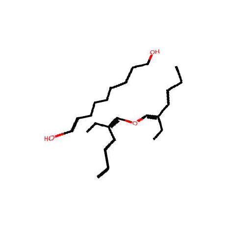 CCCCC(=COC=C(CC)CCCC)CC.OCCCCCCCCCO